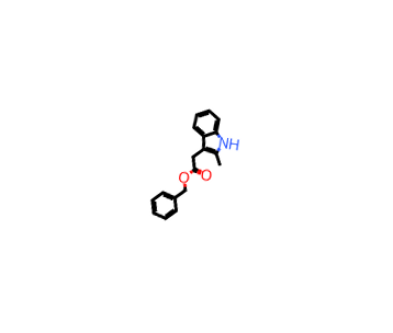 Cc1[nH]c2ccccc2c1CC(=O)OCc1ccccc1